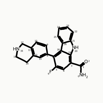 NC(=O)c1cc(F)c(-c2ccc3c(c2)CCNC3)c2c1[nH]c1ccccc12